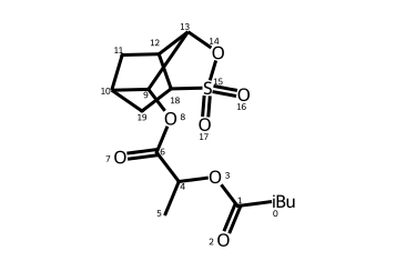 CCC(C)C(=O)OC(C)C(=O)OC1C2CC3C1OS(=O)(=O)C3C2